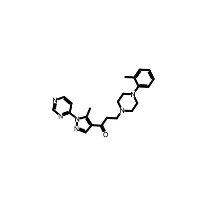 Cc1ccccc1N1CCN(CCC(=O)c2cnn(-c3ccncn3)c2C)CC1